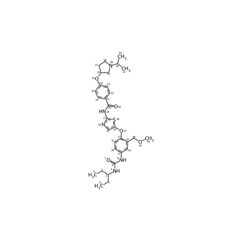 CCC(CC)NC(=O)Nc1ccc(Oc2cnc(NC(=O)c3ccc(OC4CCN(C(C)C)C4)cc3)s2)c(COC)c1